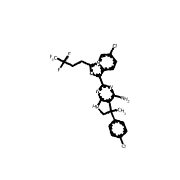 CC1(c2ccc(Cl)cc2)CNc2nc(-c3nc(CCC(F)(F)C(F)(F)F)n4cc(Cl)ccc34)nc(N)c21